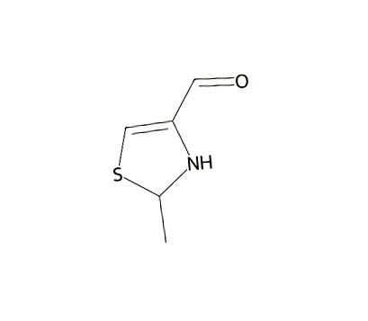 CC1NC(C=O)=CS1